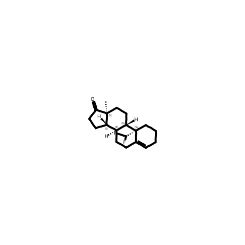 C[C@]12CC[C@H]3[C@@H](CCC4=CCCC[C@@]43C(F)F)[C@@H]1CCC2=O